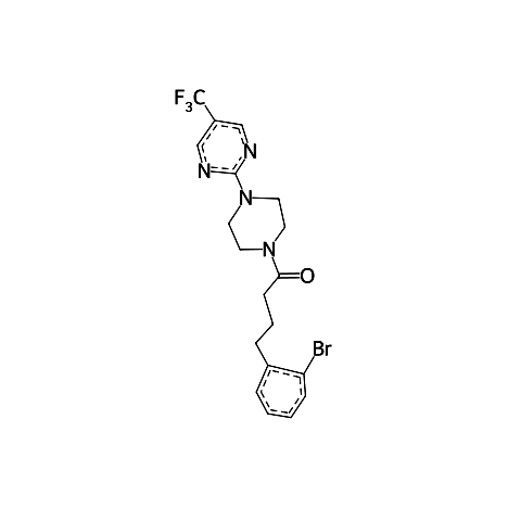 O=C(CCCc1ccccc1Br)N1CCN(c2ncc(C(F)(F)F)cn2)CC1